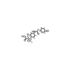 CC(C)(Oc1ccc(NC(=O)Cc2ccc(Cl)cc2)cc1)C(=O)O